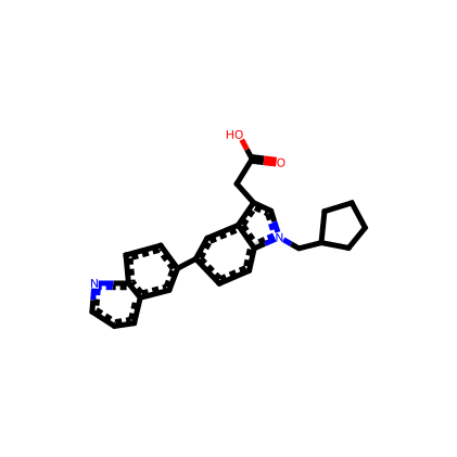 O=C(O)Cc1cn(CC2CCCC2)c2ccc(-c3ccc4ncccc4c3)cc12